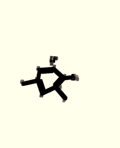 Cc1ccc([S-])c(C)c1.[Li+]